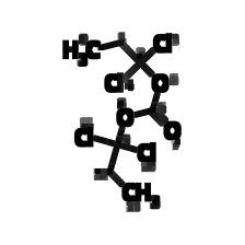 CCC(Cl)(Cl)OC(=O)OC(Cl)(Cl)CC